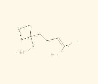 CC(C)=CCCC1(CC=O)CCC1